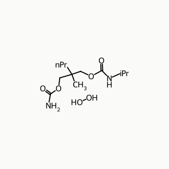 CCCC(C)(COC(N)=O)COC(=O)NC(C)C.OO